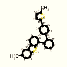 Cc1ccc2sc3c(-c4ccccc4-c4ccc(-c5ccc(C)s5)cc4)cccc3c2c1